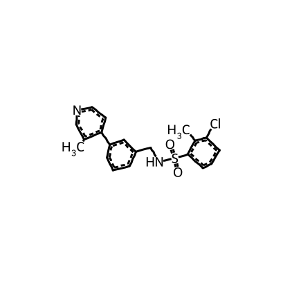 Cc1cnccc1-c1cccc(CNS(=O)(=O)c2cccc(Cl)c2C)c1